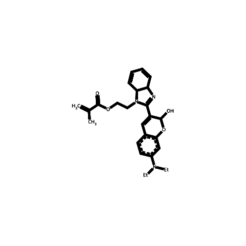 C=C(C)C(=O)OCCN1C(C2=Cc3ccc(N(CC)CC)cc3OC2O)=NC2C=CC=CC21